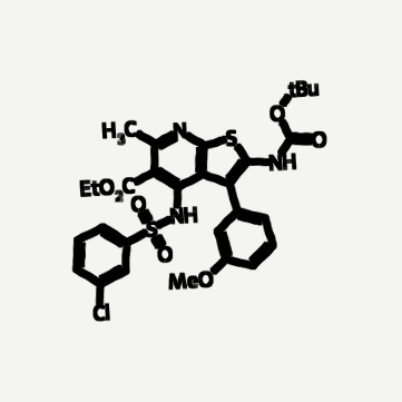 CCOC(=O)c1c(C)nc2sc(NC(=O)OC(C)(C)C)c(-c3cccc(OC)c3)c2c1NS(=O)(=O)c1cccc(Cl)c1